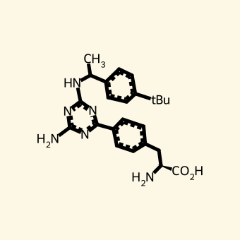 CC(Nc1nc(N)nc(-c2ccc(C[C@H](N)C(=O)O)cc2)n1)c1ccc(C(C)(C)C)cc1